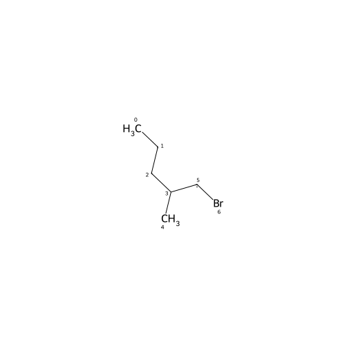 CCCC(C)[CH]Br